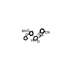 COc1ccc([C@H]2CNC(=O)[C@@H](Cc3nc4c(C#N)cccc4o3)C2)cc1OC1CCCC1